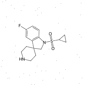 O=S(=O)(C1CC1)N1CC2(CCNCC2)c2cc(F)ccc21